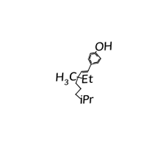 CCC(C)(/C=C/c1ccc(O)cc1)CCCC(C)C